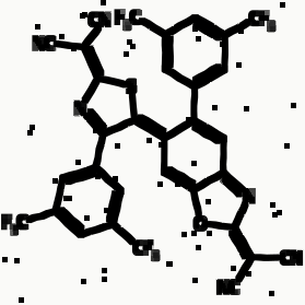 N#CC(C#N)=c1nc2cc(-c3cc(C(F)(F)F)cc(C(F)(F)F)c3)/c(=c3\sc(=C(C#N)C#N)nc3-c3cc(C(F)(F)F)cc(C(F)(F)F)c3)cc2o1